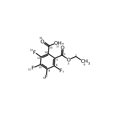 CCOC(=O)c1c(F)c(F)c(F)c(F)c1C(=O)O